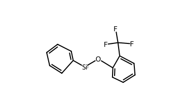 FC(F)(F)c1ccccc1O[Si]c1ccccc1